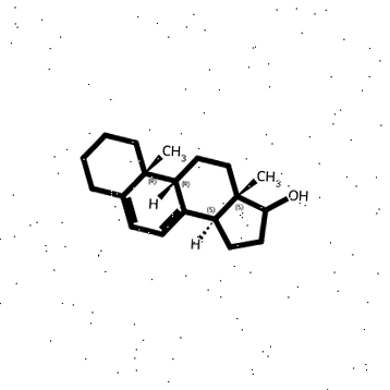 C[C@]12CCCCC1=CC=C1[C@H]2CC[C@]2(C)C(O)CC[C@@H]12